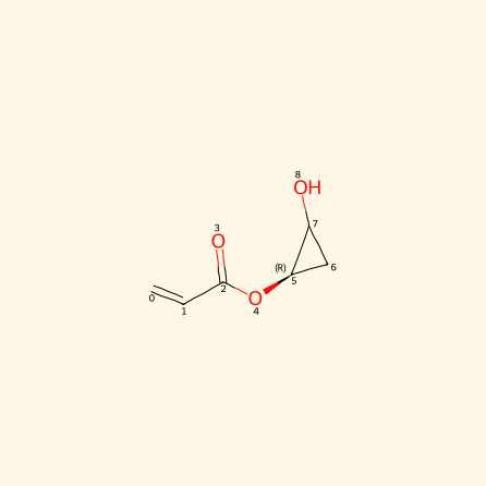 C=CC(=O)O[C@@H]1CC1O